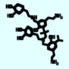 CC(C)c1cc(CCN)cc(CN(CCc2ccc(O)c(O)c2)CC(C)(C)c2cc(CCN)cc(CNCCc3ccc(O)c(O)c3)c2O)c1O